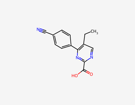 CCc1cnc(C(=O)O)nc1-c1ccc(C#N)cc1